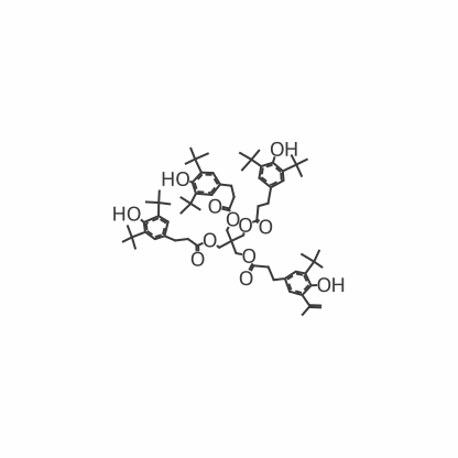 C=C(C)c1cc(CCC(=O)OCC(COC(=O)CCc2cc(C(C)(C)C)c(O)c(C(C)(C)C)c2)(COC(=O)CCc2cc(C(C)(C)C)c(O)c(C(C)(C)C)c2)COC(=O)CCc2cc(C(C)(C)C)c(O)c(C(C)(C)C)c2)cc(C(C)(C)C)c1O